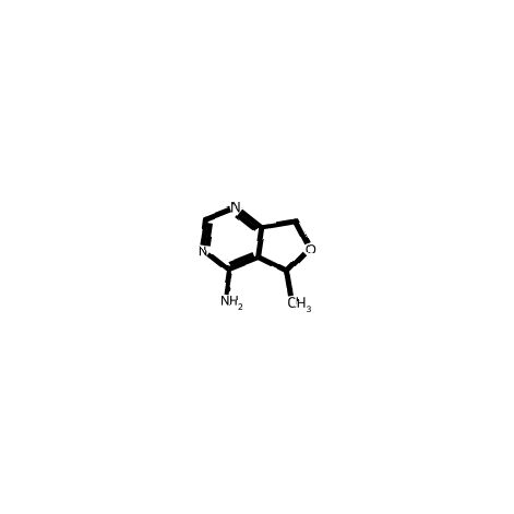 CC1OCc2ncnc(N)c21